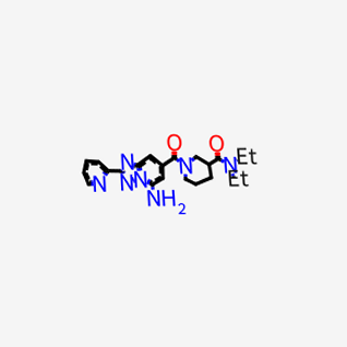 CCN(CC)C(=O)C1CCCN(C(=O)c2cc(N)n3nc(-c4ccccn4)nc3c2)C1